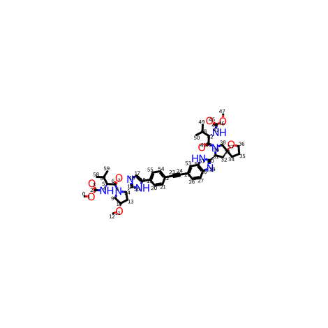 COC(=O)N[C@H](C(=O)N1C[C@@H](OC)C[C@H]1c1ncc(-c2ccc(C#Cc3ccc4nc([C@@H]5C[C@@]6(CCCO6)CN5C(=O)[C@@H](NC(=O)OC)C(C)C)[nH]c4c3)cc2)[nH]1)C(C)C